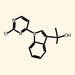 CC(C)(O)c1cn(-c2ccnc(Cl)n2)c2ccccc12